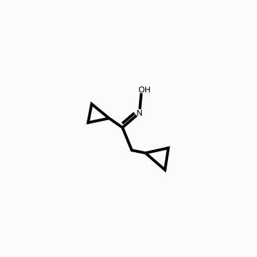 ON=C(CC1CC1)C1CC1